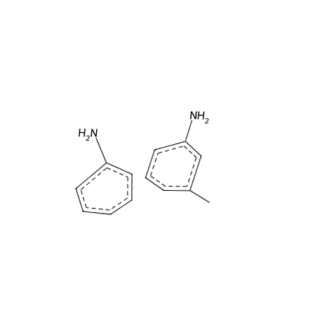 Cc1cccc(N)c1.Nc1ccccc1